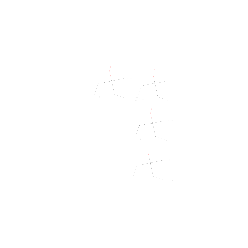 O=C([O-])CC(O)(CC(=O)[O-])C(=O)[O-].O=C([O-])CC(O)(CC(=O)[O-])C(=O)[O-].O=C([O-])CC(O)(CC(=O)[O-])C(=O)[O-].O=C([O-])CC(O)(CC(=O)[O-])C(=O)[O-].[Ti+4].[Ti+4].[Ti+4]